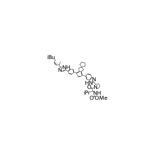 CCC(C)C/C=C\C(C)c1ncc(-c2ccc(-c3ccc(-c4ccc5nc(C6CCCN6C(=O)C(NC(=O)OC)C(C)C)[nH]c5c4)c4c3CC3(CCCC3)C4)cc2)[nH]1